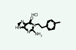 Cc1ccc(CCn2c(N)nc3[nH]cnc3c2=O)cc1.Cl